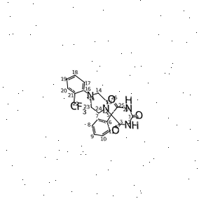 O=C1NC(=O)C(c2ccccc2)(N2CCN(c3ccccc3C(F)(F)F)CC2)C(=O)N1